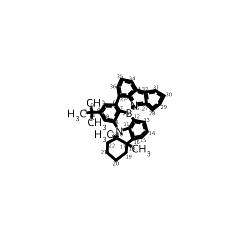 CC(C)(C)c1cc2c3c(c1)N1c4c(cccc4C4(C)CCCCC14C)B3n1c3ccccc3c3cccc-2c31